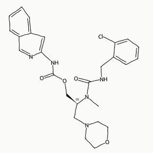 CN(C(=O)NCc1ccccc1Cl)[C@H](COC(=O)Nc1cc2ccccc2cn1)CN1CCOCC1